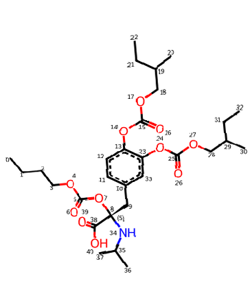 CCCCOC(=O)O[C@](Cc1ccc(OC(=O)OCC(C)CC)c(OC(=O)OCC(C)CC)c1)(NC(C)C)C(=O)O